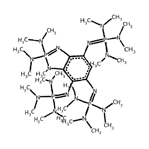 CN(C)P(=Nc1cc(N=P(N(C)C)(N(C)C)N(C)C)c2c(c1N=P(N(C)C)(N(C)C)N(C)C)N(C)P(N(C)C)(N(C)C)=N2)(N(C)C)N(C)C